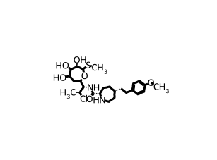 COc1ccc(CC[C@@H]2CCN[C@H](C(=O)N[C@@H](C3CC(O)C(O)[C@@H](O)C(SC)O3)[C@H](C)Cl)CC2)cc1